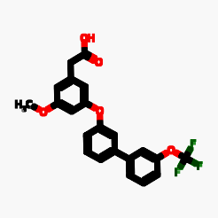 COc1cc(CC(=O)O)cc(Oc2cccc(-c3cccc(OC(F)(F)F)c3)c2)c1